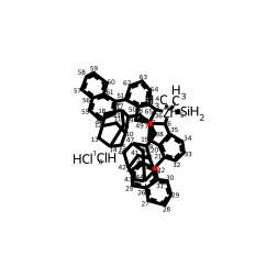 Cl.Cl.[CH3][Zr]([CH3])(=[SiH2])([CH]1C(CC2C3CC4CC(C3)CC2C4)=Cc2c(-c3cccc4ccccc34)cccc21)[CH]1C(CC2C3CC4CC(C3)CC2C4)=Cc2c(-c3cccc4ccccc34)cccc21